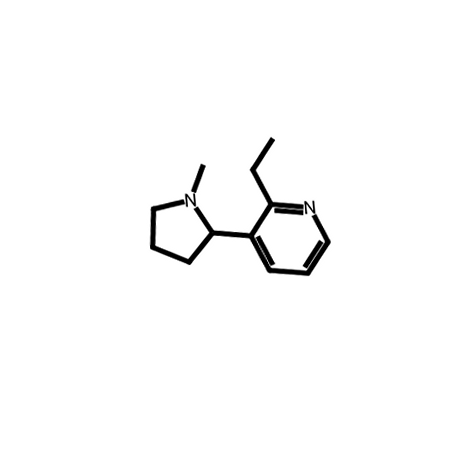 CCc1ncccc1C1CCCN1C